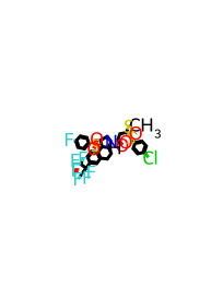 CSC(CC(=O)N1CC[C@@]2(S(=O)(=O)c3ccc(F)cc3)c3ccc(C(F)(C(F)(F)F)C(F)(F)F)cc3CC[C@@H]12)S(=O)(=O)c1ccc(Cl)cc1